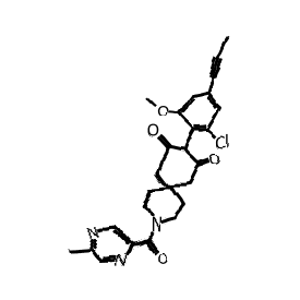 CC#Cc1cc(Cl)c(C2C(=O)CC3(CCN(C(=O)c4cnc(C)cn4)CC3)CC2=O)c(OC)c1